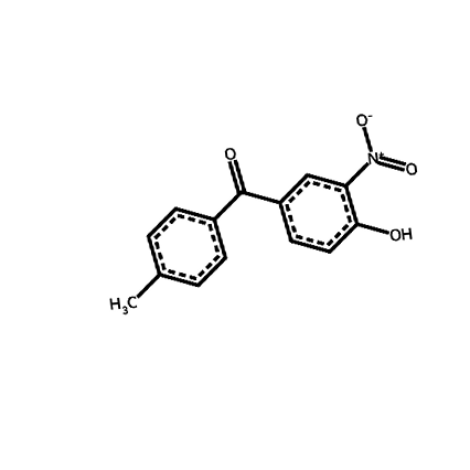 Cc1ccc(C(=O)c2ccc(O)c([N+](=O)[O-])c2)cc1